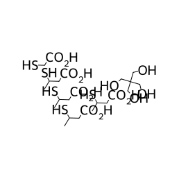 CC(S)CC(=O)O.CC(S)CC(=O)O.CC(S)CC(=O)O.CC(S)CC(=O)O.O=C(O)CS.OCC(CO)(CO)CO